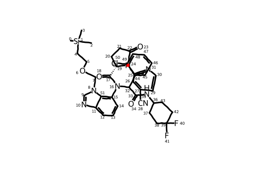 C[Si](C)(C)CCOCn1cnc2cccc(N(C(=O)[C@@H]3CCC(=O)N3c3cc(C#N)ccn3)C(C(=O)NC3CCC(F)(F)CC3)c3ccccc3Cl)c21